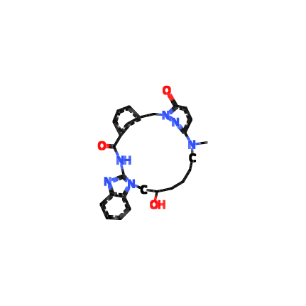 CN1CCCCC(O)Cn2c(nc3ccccc32)NC(=O)c2cccc(c2)Cn2nc1ccc2=O